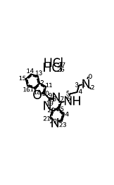 CN(C)CCCNc1nc(-c2cc3ccccc3o2)nc2cnccc12.Cl.Cl